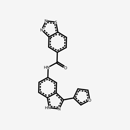 O=C(Nc1ccc2[nH]nc(-c3ccoc3)c2c1)c1ccc2snnc2c1